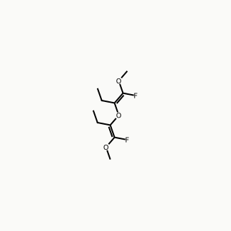 CCC(OC(CC)=C(F)OC)=C(F)OC